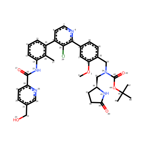 COc1cc(-c2nccc(-c3cccc(NC(=O)c4ccc(CO)cn4)c3C)c2Cl)ccc1CN(C[C@@H]1CCC(=O)N1)C(=O)OC(C)(C)C